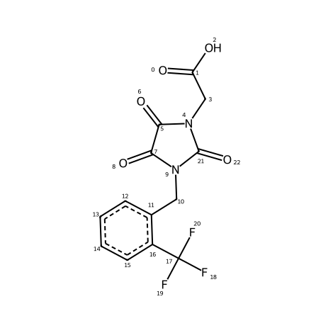 O=C(O)CN1C(=O)C(=O)N(Cc2ccccc2C(F)(F)F)C1=O